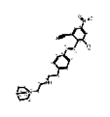 N#Cc1cc([N+](=O)[O-])cc(Cl)c1N=Nc1ccc(CCNCC[N+]23CCN(CC2)CC3)cc1